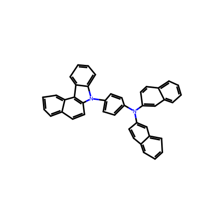 c1ccc2cc(N(c3ccc(-n4c5ccccc5c5c6ccccc6ccc54)cc3)c3ccc4ccccc4c3)ccc2c1